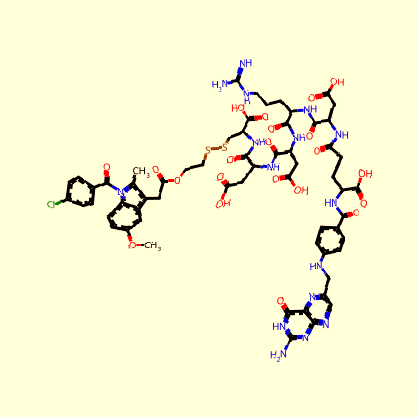 COc1ccc2c(c1)c(CC(=O)OCCSSCC(NC(=O)C(CC(=O)O)NC(=O)C(CC(=O)O)NC(=O)C(CCCNC(=N)N)NC(=O)C(CC(=O)O)NC(=O)CCC(NC(=O)c1ccc(NCc3cnc4nc(N)[nH]c(=O)c4n3)cc1)C(=O)O)C(=O)O)c(C)n2C(=O)c1ccc(Cl)cc1